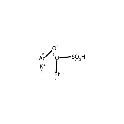 CC(=O)[O-].CCOS(=O)(=O)O.[K+]